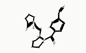 N#Cc1ccc(C(=O)N2CCC[C@H]2CN2CCCC2)cc1